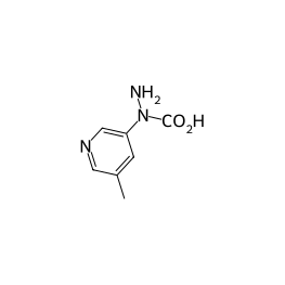 Cc1cncc(N(N)C(=O)O)c1